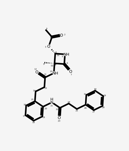 CC(=O)O[C@@H]1NC(=O)[C@@]1(C)NC(=O)CCc1ccccc1NC(=O)CCc1ccccc1